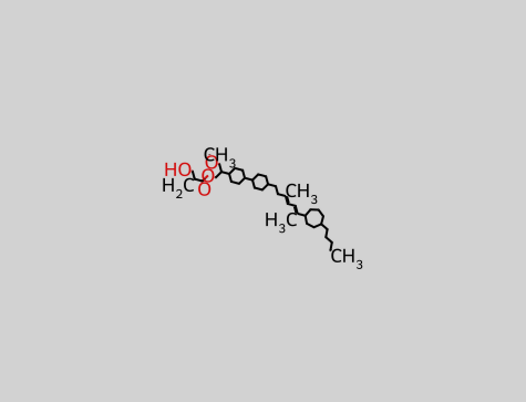 C=C(CO)C(=O)OCC(COC)C1CCC(C2CCC(CC/C(C)=C/C=C(\C)C3CCCC(CCCCC)CC3)CC2)CC1